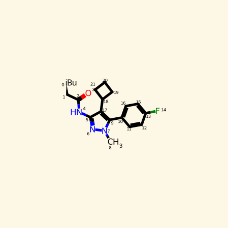 CC[C@H](C)CC(=O)Nc1nn(C)c(-c2ccc(F)cc2)c1C1CCC1